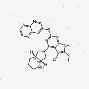 CCc1[nH]c2nc(Sc3cnc4nccnc4c3)nc(C3C[C@H]4CCCN[C@H]4C3)c2c1Cl